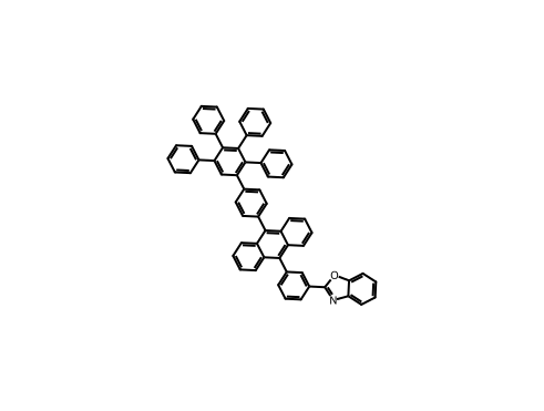 c1ccc(-c2cc(-c3ccc(-c4c5ccccc5c(-c5cccc(-c6nc7ccccc7o6)c5)c5ccccc45)cc3)c(-c3ccccc3)c(-c3ccccc3)c2-c2ccccc2)cc1